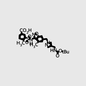 Cc1ccc(C(=O)O)cc1S(=O)(=O)Nc1noc2cc(Cn3cc(CNC(=O)OC(C)(C)C)cn3)cc(C)c12